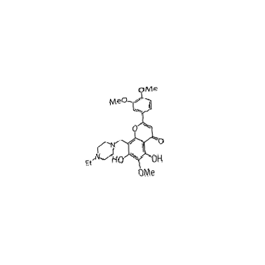 CCN1CCN(Cc2c(O)c(OC)c(O)c3c(=O)cc(-c4ccc(OC)c(OC)c4)oc23)CC1